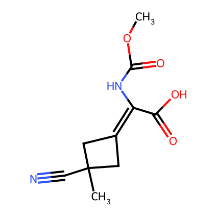 COC(=O)NC(C(=O)O)=C1CC(C)(C#N)C1